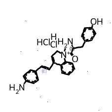 C[N+]1(C(=O)[C@@H](N)Cc2ccc(O)cc2)CC=C(/C=C/c2ccc(N)cc2)c2ccccc21.Cl.Cl